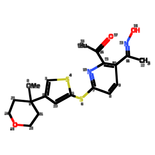 COC1(c2csc(Sc3ccc(C(C)=NO)c(C(=O)C(C)(C)C)n3)c2)CCOCC1